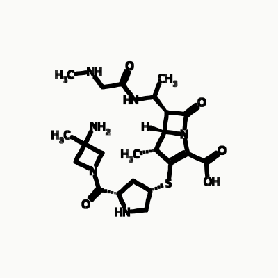 CNCC(=O)NC(C)[C@H]1C(=O)N2C(C(=O)O)=C(S[C@@H]3CN[C@H](C(=O)N4CC(C)(N)C4)C3)[C@H](C)[C@H]12